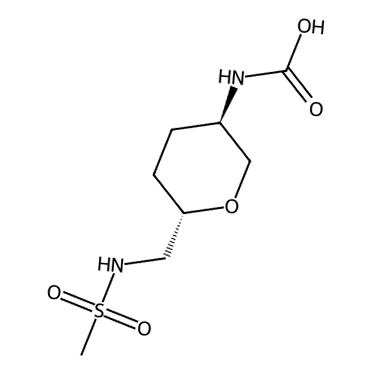 CS(=O)(=O)NC[C@@H]1CC[C@@H](NC(=O)O)CO1